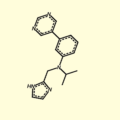 CC(C)N(Cc1ncc[nH]1)c1cccc(-c2cncnc2)c1